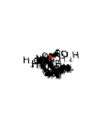 Cn1nc(CC(CCCCCCCC(=O)O)(Cc2nc(NCCCOc3cccc(CN4CCCCC4)c3)n(C)n2)C(=O)O)nc1NCCCOc1cccc(CN2CCCCC2)c1